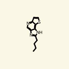 CCCCc1nc2cnc3ccsc3c2[nH]1